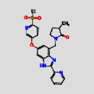 CCS(=O)(=O)c1ccc(Oc2cc(CN3CCC(C)C3=O)c3nc(-c4ccccn4)[nH]c3c2)cn1